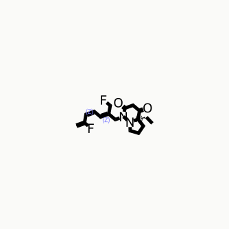 C=C(F)/C=C\C=C(/CF)CN1C(=O)CC(=O)[C@@]2(CC)CCCN12